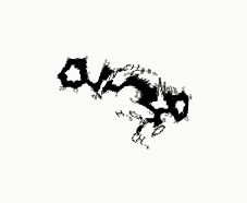 CC(Cc1nc(-c2ccccc2)cn1C)c1cc(C(=O)N(C)C)c2ccccc2n1